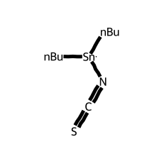 CCC[CH2][Sn]([CH2]CCC)[N]=C=S